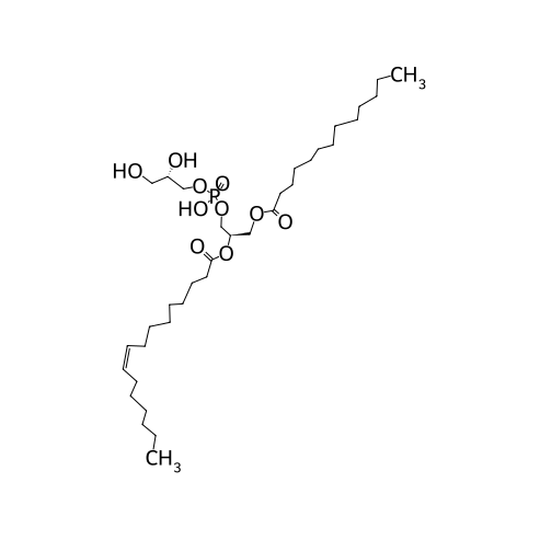 CCCCCC/C=C\CCCCCCCC(=O)O[C@H](COC(=O)CCCCCCCCCCCC)COP(=O)(O)OC[C@@H](O)CO